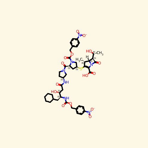 C[C@@H](O)[C@H]1C(=O)N2C(C(=O)O)=C(S[C@H]3C[C@@H](C(=O)N4CC[C@H](NC(=O)C[C@H](O)[C@H](CC5CCCCC5)NC(=O)OCc5ccc([N+](=O)[O-])cc5)C4)N(C(=O)OCc4ccc([N+](=O)[O-])cc4)C3)[C@H](C)[C@H]12